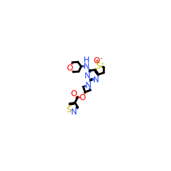 O=C(OC1CN(c2nc3c(c(NC4CCOCC4)n2)[S+]([O-])CC3)C1)c1cnsc1